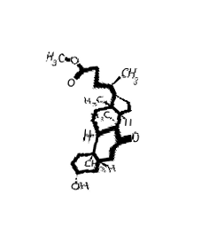 COC(=O)CC[C@@H](C)[C@H]1CC[C@@H]2[C@]1(C)CC[C@@H]1[C@@]3(C)CC[C@@H](O)C[C@H]3CC(=O)[C@@]12C